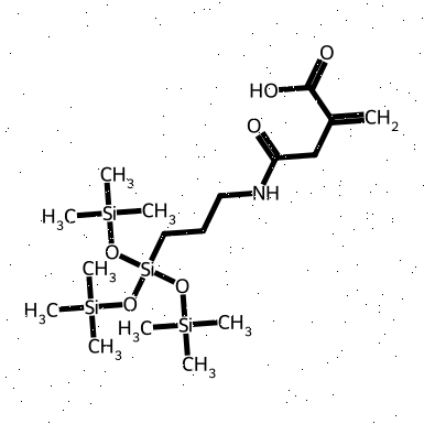 C=C(CC(=O)NCCC[Si](O[Si](C)(C)C)(O[Si](C)(C)C)O[Si](C)(C)C)C(=O)O